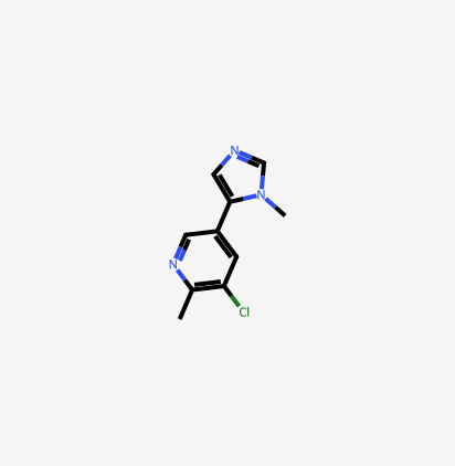 Cc1ncc(-c2cncn2C)cc1Cl